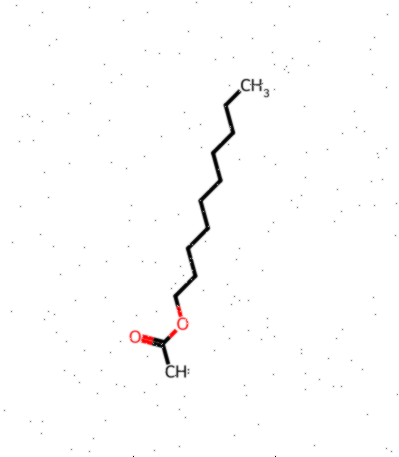 [CH]C(=O)OCCCCCCCCCC